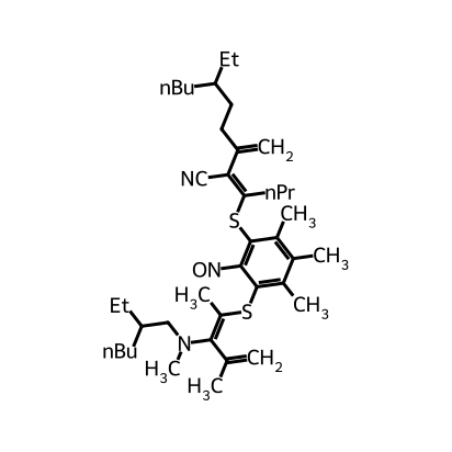 C=C(CCC(CC)CCCC)/C(C#N)=C(\CCC)Sc1c(C)c(C)c(C)c(S/C(C)=C(\C(=C)C)N(C)CC(CC)CCCC)c1N=O